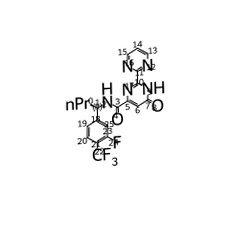 CCC[C@@H](NC(=O)c1cc(=O)[nH]c(-c2ncccn2)n1)c1ccc(C(F)(F)F)c(F)c1